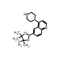 CC1(C)OB(c2ccc3nccc(N4CCNCC4)c3c2)OC1(C)C